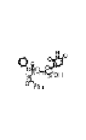 CCCCOC(=O)[C@@H](C)N[P@@](=O)(OC[C@H]1O[C@@H](n2ccc(=O)[nH]c2=O)[C@H](O)[C@@H]1C)Oc1ccccc1